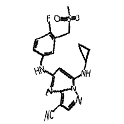 CS(=O)(=O)Cc1cc(Nc2cc(NC3CC3)n3ncc(C#N)c3n2)ccc1F